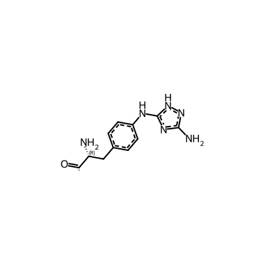 Nc1n[nH]c(Nc2ccc(C[C@@H](N)[C]=O)cc2)n1